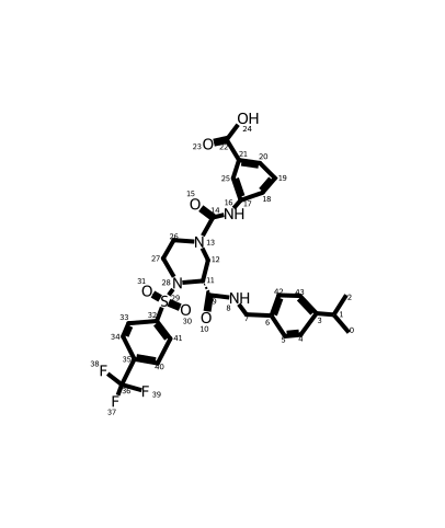 CC(C)c1ccc(CNC(=O)[C@H]2CN(C(=O)Nc3cccc(C(=O)O)c3)CCN2S(=O)(=O)c2ccc(C(F)(F)F)cc2)cc1